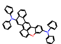 c1ccc(N(c2ccccc2)c2ccc3c(c2)Oc2cccc4c2c-3cc2c3ccccc3c(N(c3ccccc3)c3ccccc3)cc42)cc1